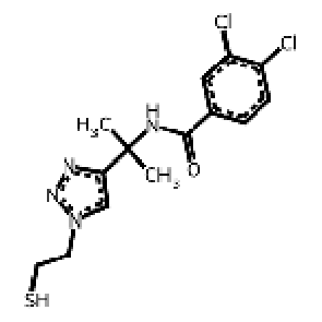 CC(C)(NC(=O)c1ccc(Cl)c(Cl)c1)c1cn(CCS)nn1